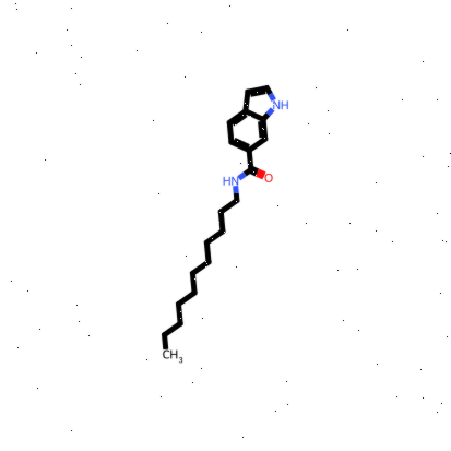 CCCCCCCCCCCNC(=O)c1ccc2cc[nH]c2c1